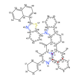 C=C(c1nc(-c2ccccc2)nc(C2=CCCCC2)c1C)c1c(-c2ccccc2C)ccc2c3ccccc3n(-c3cccc4nc(C5=CC=CC6=CC=CCC65)sc34)c12